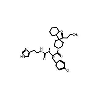 CCCC(=O)C1(C2CCCCC2)CCN(C(=O)[C@@H](Cc2ccc(Cl)cc2)NC(=O)NCCc2c[nH]cn2)CC1